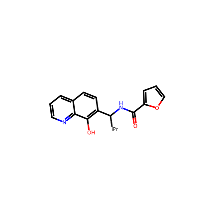 CC(C)C(NC(=O)c1ccco1)c1ccc2cccnc2c1O